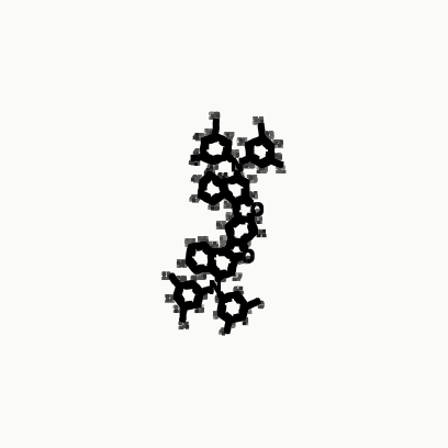 Cc1cc(C)cc(N(c2cc(C)cc(C)c2)c2cc3oc4cc5oc6cc(N(c7cc(C)cc(C)c7)c7cc(C)cc(C)c7)c7ccccc7c6c5cc4c3c3ccccc23)c1